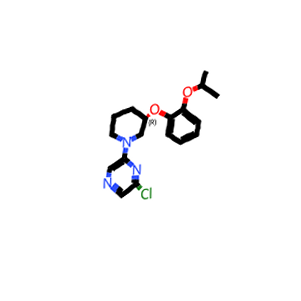 CC(C)Oc1ccccc1O[C@@H]1CCCN(c2cncc(Cl)n2)C1